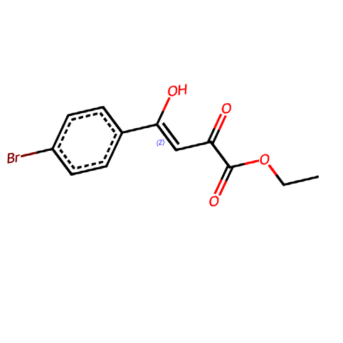 CCOC(=O)C(=O)/C=C(\O)c1ccc(Br)cc1